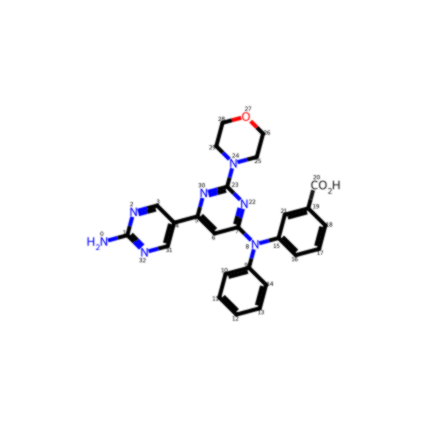 Nc1ncc(-c2cc(N(c3ccccc3)c3cccc(C(=O)O)c3)nc(N3CCOCC3)n2)cn1